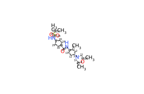 Cc1cc(N2C[C@@H](C)O[C@@H](C)C2)ccc1NC(=O)c1ccc(NS(=O)(=O)C(C)C)cc1